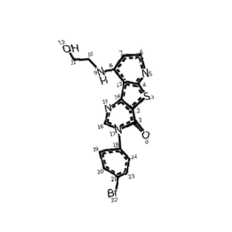 O=c1c2sc3nccc(NCCO)c3c2ncn1-c1ccc(Br)cc1